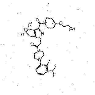 Cc1c(C(F)F)cccc1N1CCN(C(=O)Cn2nc(C(=O)N3CCC(OCCO)CC3)c3c2C[C@H]2C[C@@H]32)CC1